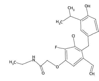 C=Cc1cc(OCC(=O)NCC)c(F)c(Cl)c1Cc1ccc(O)c(C(C)C)c1